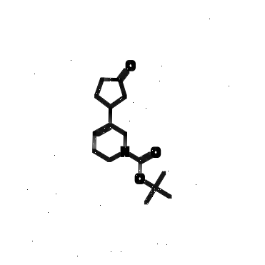 CC(C)(C)OC(=O)N1CCC=C(C2CCC(=O)C2)C1